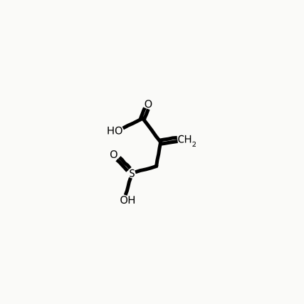 C=C(CS(=O)O)C(=O)O